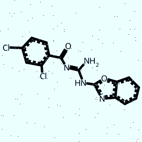 N/C(=N\C(=O)c1ccc(Cl)cc1Cl)Nc1nc2ccccc2o1